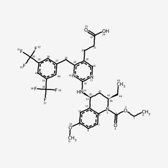 CCOC(=O)N1c2ccc(OC)cc2[C@@H](Nc2ncc(CCC(=O)O)c(Cc3cc(C(F)(F)F)cc(C(F)(F)F)c3)n2)C[C@H]1CC